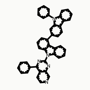 c1ccc(-c2nc(-n3c4ccccc4c4c(-c5ccc6c7ccccc7n(-c7ccccc7)c6c5)cccc43)nc3cnccc23)cc1